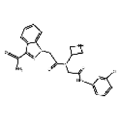 NC(=O)c1nn(CC(=O)N(CC(=O)Nc2cccc(Cl)n2)C2CNC2)c2ccccc12